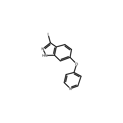 Ic1n[nH]c2cc(Oc3ccncc3)ccc12